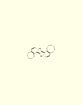 O=C1C2=C3C4=C(C=CN3C(=O)C2=C2C3=C(C=CN12)CCCCCC3)CCCCC4